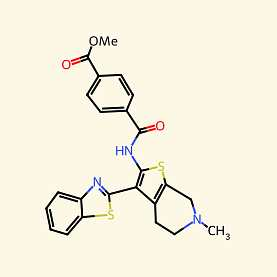 COC(=O)c1ccc(C(=O)Nc2sc3c(c2-c2nc4ccccc4s2)CCN(C)C3)cc1